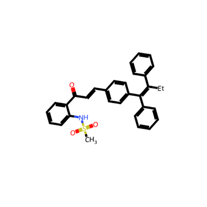 CC/C(=C(\c1ccccc1)c1ccc(/C=C/C(=O)c2ccccc2NS(C)(=O)=O)cc1)c1ccccc1